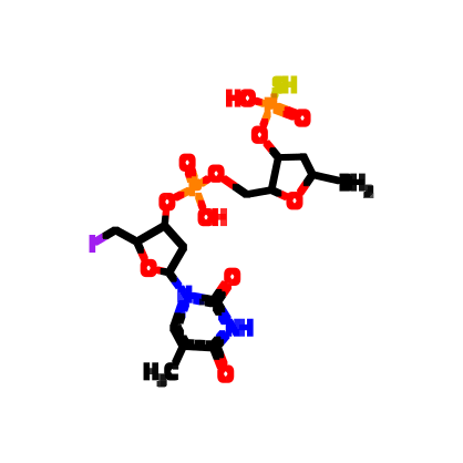 BC1CC(OP(=O)(O)S)C(COP(=O)(O)OC2CC(n3cc(C)c(=O)[nH]c3=O)OC2CI)O1